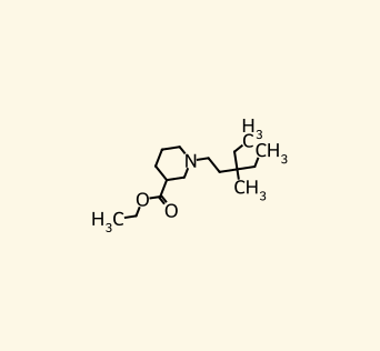 CCOC(=O)C1CCCN(CCC(C)(CC)CC)C1